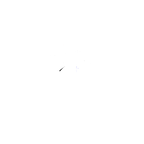 CCCC(O)(CCC)[C@H](Cc1ccccc1)NC(=O)O